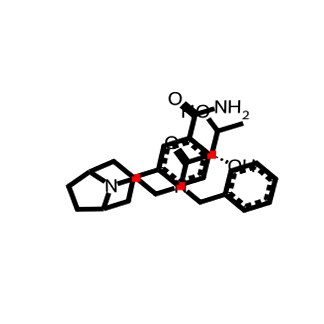 CC(O)[C@H](O)C(=O)N(CCN1C2CCC1CC(c1cccc(C(N)=O)c1)C2)Cc1ccccc1